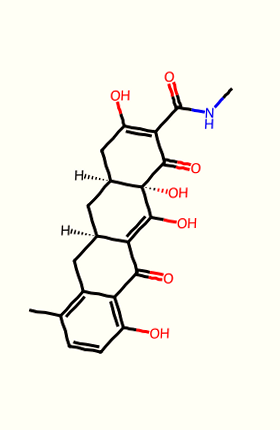 CNC(=O)C1=C(O)C[C@@H]2C[C@@H]3Cc4c(C)ccc(O)c4C(=O)C3=C(O)[C@]2(O)C1=O